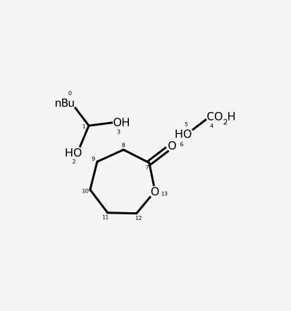 CCCCC(O)O.O=C(O)O.O=C1CCCCCO1